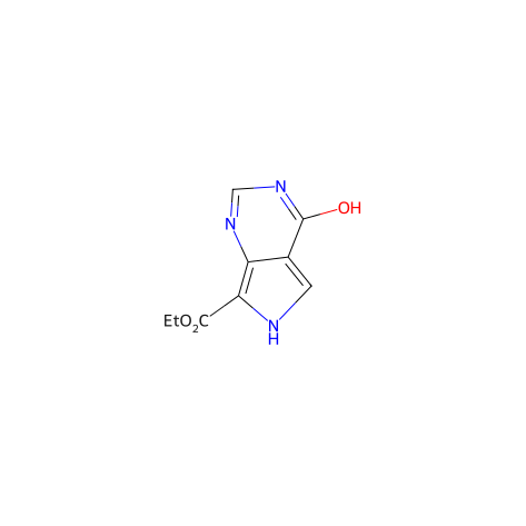 CCOC(=O)c1[nH]cc2c(O)ncnc12